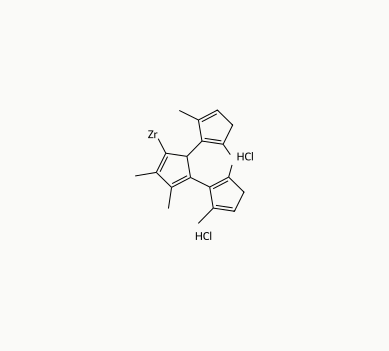 CC1=CCC(C)=C1C1=C(C)C(C)=[C]([Zr])C1C1=C(C)CC=C1C.Cl.Cl